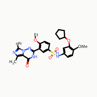 CCCc1nc(C)c2c(=O)[nH]c(-c3cc(S(=O)(=O)Nc4ccc(OC)c(OC5CCCC5)c4)ccc3OCC)nn12